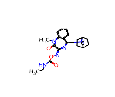 CCNC(=O)ON=c1nc(N2CC3CCC(CC3)C2)c2ccccc2n(C)c1=O